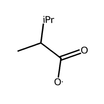 CC(C)C(C)C([O])=O